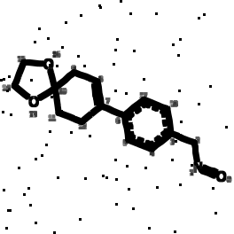 O=NCc1ccc(C2=CCC3(CC2)OCCO3)cc1